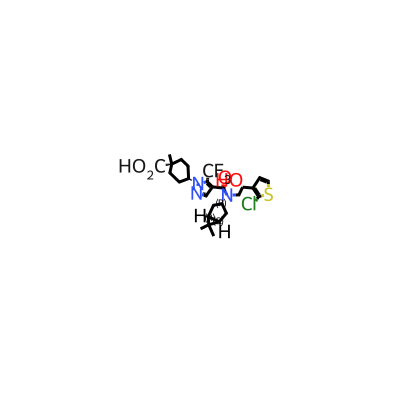 CC1(C)[C@@H]2C[C@H](N(CC(O)c3ccsc3Cl)C(=O)c3cnn([C@H]4CC[C@](C)(C(=O)O)CC4)c3C(F)(F)F)C[C@@H]21